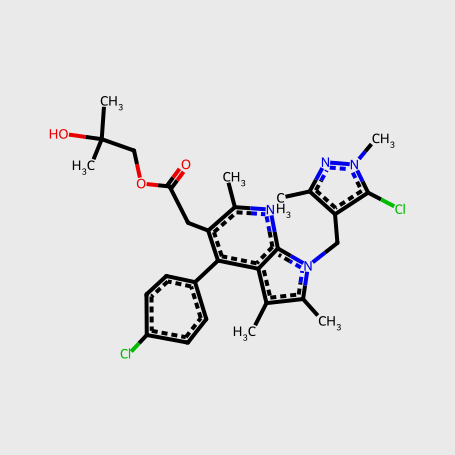 Cc1nc2c(c(C)c(C)n2Cc2c(C)nn(C)c2Cl)c(-c2ccc(Cl)cc2)c1CC(=O)OCC(C)(C)O